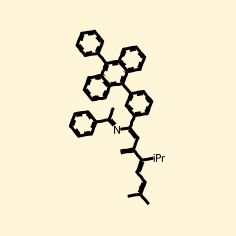 C=C(/C=C(\N=C(/C)c1ccccc1)c1cccc(-c2c3ccccc3c(-c3ccccc3)c3ccccc23)c1)/C(=C/C=C(C)C)C(C)C